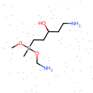 CO[Si](C)(CCC(O)CCN)OCN